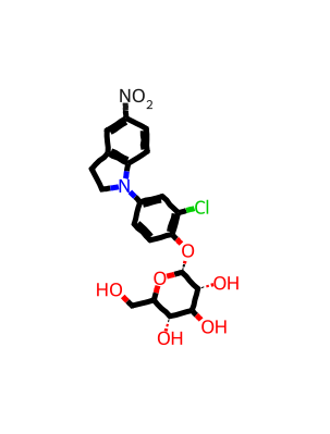 O=[N+]([O-])c1ccc2c(c1)CCN2c1ccc(O[C@H]2OC(CO)[C@@H](O)C(O)[C@H]2O)c(Cl)c1